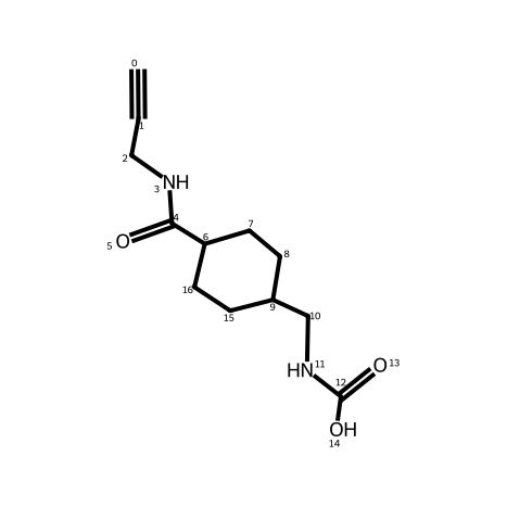 C#CCNC(=O)C1CCC(CNC(=O)O)CC1